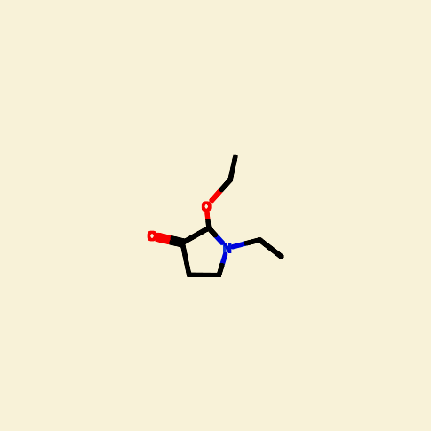 CCOC1C(=O)CCN1CC